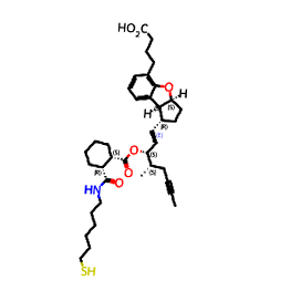 CC#CC[C@H](C)[C@@H](/C=C/[C@H]1CC[C@@H]2Oc3c(CCCC(=O)O)cccc3[C@@H]21)OC(=O)[C@H]1CCCC[C@H]1C(=O)NCCCCCCS